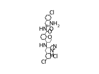 NC(=O)[C@H](Cc1ccc(Cl)cc1)NC(=O)c1cccc2c1OCCC2NC(Cc1cc(Cl)cc(Cl)c1)c1cnc[nH]1